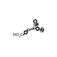 O=C(O)Cc1ccc(OCCCOc2ccc(-n3nccn3)cc2-n2nc3ccccc3n2)cc1